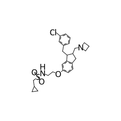 O=S(=O)(CC1CC1)NCCOc1ccc2c(c1)C(Cc1cccc(Cl)c1)C(CN1CCC1)C2